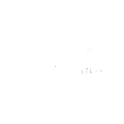 CCCCCCCCCC([CH]C1CCCO1)COc1ccccc1